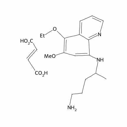 CCOc1c(OC)cc(NC(C)CCCN)c2ncccc12.O=C(O)C=CC(=O)O